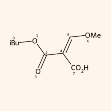 CCC(C)OC(=O)C(=COC)C(=O)O